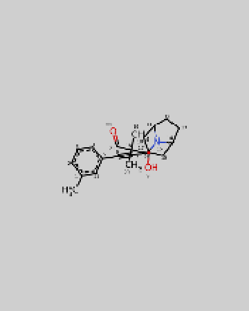 Cc1cccc(C#CC2(O)CC3CCC(C2)N3CC(C)(C)C=O)c1